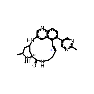 Cc1ncc(-c2ccc3ncc4cc3c2/C=C/CCNC(=O)[C@@H]2CC(CC(C)N2C)N4)cn1